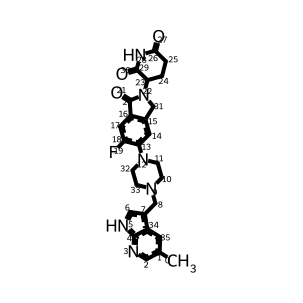 Cc1cnc2[nH]cc(CN3CCN(c4cc5c(cc4F)C(=O)N(C4CCC(=O)NC4=O)C5)CC3)c2c1